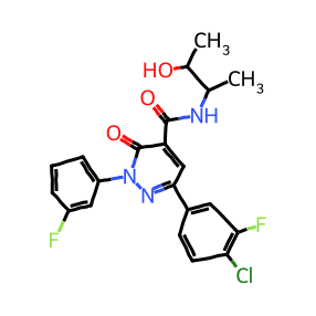 CC(O)C(C)NC(=O)c1cc(-c2ccc(Cl)c(F)c2)nn(-c2cccc(F)c2)c1=O